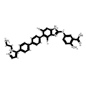 Cc1ccc(Oc2nc3c(F)c(-c4ccc(-c5ccc(-c6ccnn6CCN)cc5)cc4)c(F)cc3[nH]2)cc1C(=O)O